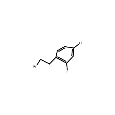 CC(C)C[CH]c1ccc(Cl)cc1F